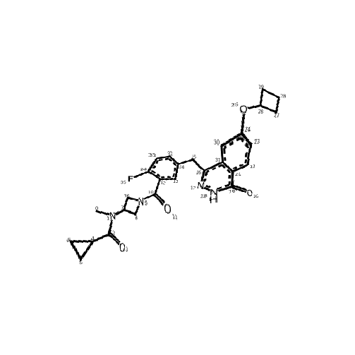 CN(C(=O)C1CC1)C1CN(C(=O)c2cc(Cc3n[nH]c(=O)c4ccc(OC5CCC5)cc34)ccc2F)C1